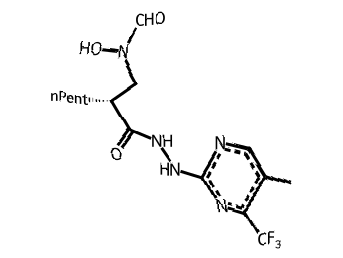 CCCCC[C@H](CN(O)C=O)C(=O)NNc1ncc(C)c(C(F)(F)F)n1